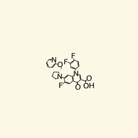 O=C(O)c1cn(-c2ccc(F)c(F)c2)c2cc(N3CCC[C@@H]3COc3ccccn3)c(F)cc2c1=O